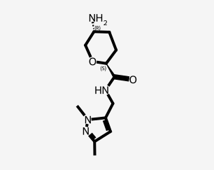 Cc1cc(CNC(=O)[C@@H]2CC[C@@H](N)CO2)n(C)n1